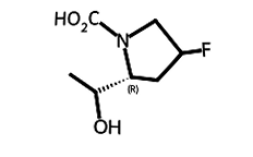 CC(O)[C@H]1CC(F)CN1C(=O)O